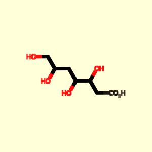 O=C(O)CC(O)C(O)CC(O)CO